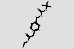 CCOC(=O)Cc1ccc(CNC(=O)OC(C)(C)C)cc1